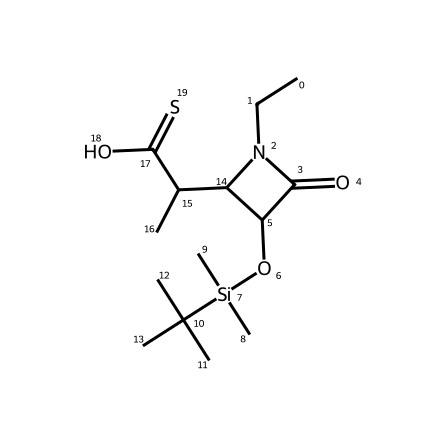 CCN1C(=O)C(O[Si](C)(C)C(C)(C)C)C1C(C)C(O)=S